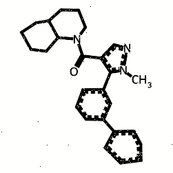 Cn1ncc(C(=O)N2CCCC3CCCCC32)c1-c1cccc(-c2ccccc2)c1